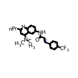 CCCc1cc(N(C)C)c2cc(NC(=O)/C=C/c3ccc(C(F)(F)F)cc3)ccc2n1